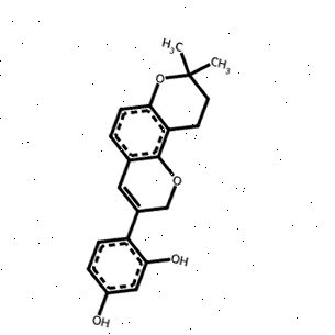 CC1(C)CCc2c(ccc3c2OCC(c2ccc(O)cc2O)=C3)O1